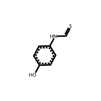 Oc1ccc(N[C]=S)cc1